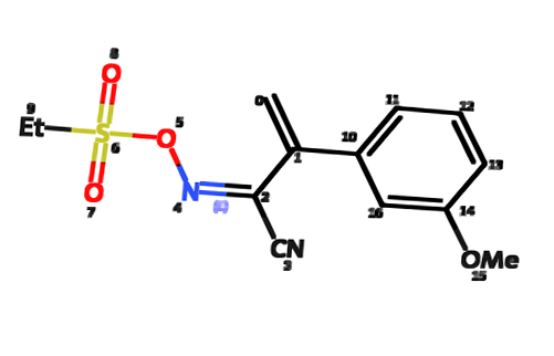 C=C(/C(C#N)=N\OS(=O)(=O)CC)c1cccc(OC)c1